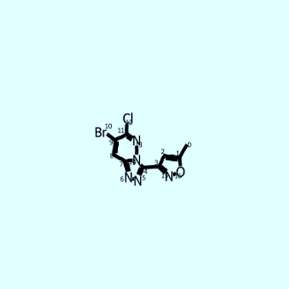 Cc1cc(-c2nnc3cc(Br)c(Cl)nn23)no1